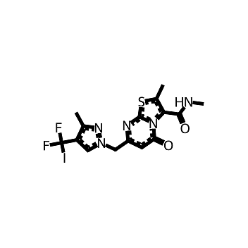 CNC(=O)c1c(C)sc2nc(Cn3cc(C(F)(F)I)c(C)n3)cc(=O)n12